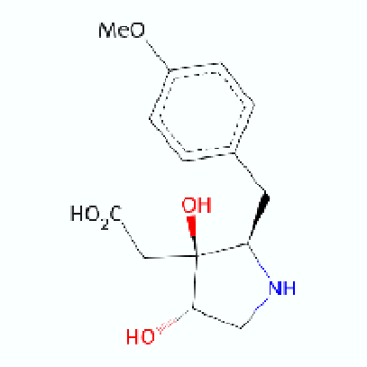 COc1ccc(C[C@H]2NC[C@H](O)[C@]2(O)CC(=O)O)cc1